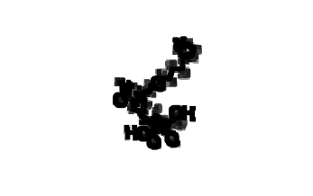 C[C@H]1C(S[C@H]2C[C@@H](C(=O)N(C)C)N(CCCOCCCCc3cccnc3)C2)=C(C(=O)O)N2C(=O)[C@H]([C@@H](C)O)C12